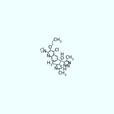 CCCOc1c(N2CCC2)nc2ccc(C(O)(c3[nH]nnc3C)c3sc(C)nc3C)cc2c1Cl